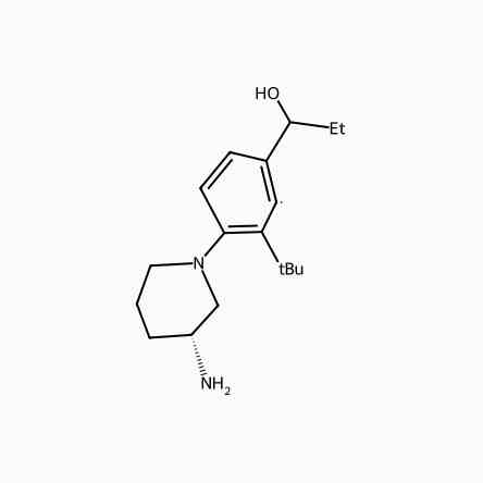 CCC(O)c1[c]c(C(C)(C)C)c(N2CCC[C@@H](N)C2)cc1